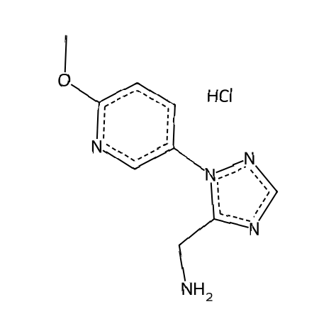 COc1ccc(-n2ncnc2CN)cn1.Cl